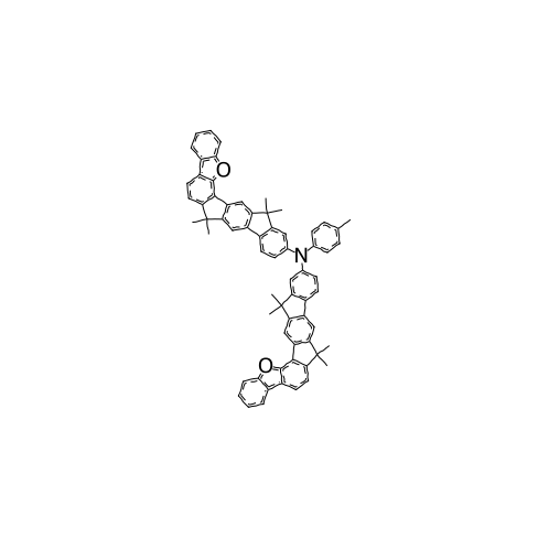 Cc1ccc(N(c2ccc3c(c2)C(C)(C)c2cc4c(cc2-3)C(C)(C)c2ccc3c(oc5ccccc53)c2-4)c2ccc3c(c2)C(C)(C)c2cc4c(cc2-3)C(C)(C)c2ccc3c(oc5ccccc53)c2-4)cc1